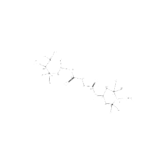 CC1(C)CN(OC(=O)CCC(=O)OC2CC(C)(C)N(O)C(C)(C)C2)CC(C)(C)C1O